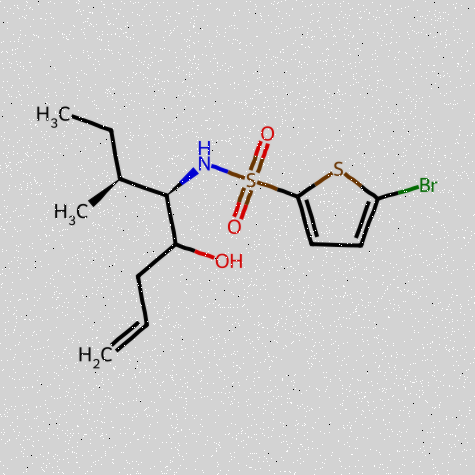 C=CCC(O)[C@H](NS(=O)(=O)c1ccc(Br)s1)[C@@H](C)CC